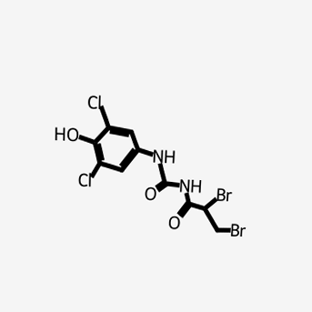 O=C(NC(=O)C(Br)CBr)Nc1cc(Cl)c(O)c(Cl)c1